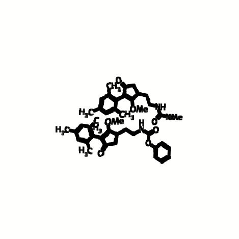 CNC(=O)NCCC1CC(=O)C(c2c(C)cc(C)cc2C)=C1OC.COC1=C(c2c(C)cc(C)cc2C)C(=O)CC1CCNC(=O)Oc1ccccc1